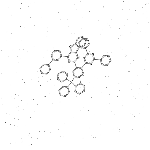 c1ccc(-c2cccc(-c3nc(-c4cc5c(cc4-c4nc(-c6ccccc6)nc(-c6ccccc6)n4)-c4ccccc4C5(c4ccccc4)c4ccccc4)nc4c3oc3ccccc34)c2)cc1